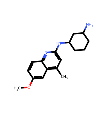 COc1ccc2nc(NC3CCCC(N)C3)cc(C)c2c1